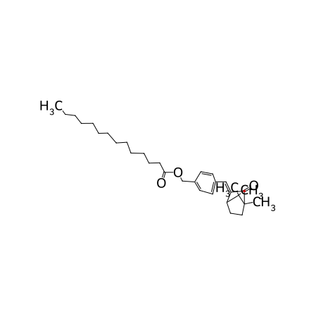 CCCCCCCCCCCCCC(=O)OCc1ccc(C=C2C(=O)C3(C)CCC2C3(C)C)cc1